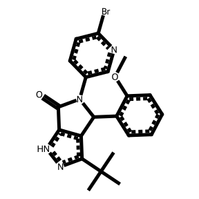 COc1ccccc1C1c2c(C(C)(C)C)n[nH]c2C(=O)N1c1ccc(Br)nc1